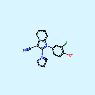 N#Cc1c(-n2cccc2)n(-c2ccc(O)c(F)c2)c2ccccc12